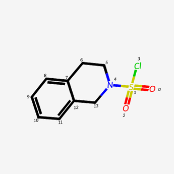 O=S(=O)(Cl)N1CCc2ccccc2C1